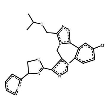 CC(C)OCc1nnc2n1Cc1c(C3=NC(c4ccccc4)CO3)ncn1-c1ccc(Cl)cc1-2